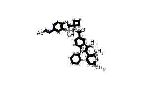 CC(=O)/C=C/c1ccc2nc(C3(NC(=O)c4ccc5c(c4)c(C)c(-c4ccc(C)nc4C)n5C4CCCCC4)CCC3)n(C)c2c1